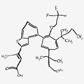 CCC(C)(C)c1cc(-c2cccc3sc(C(C)=CC(=O)O)cc23)c(OCC(F)(F)F)c(C(C)(C)CC)c1